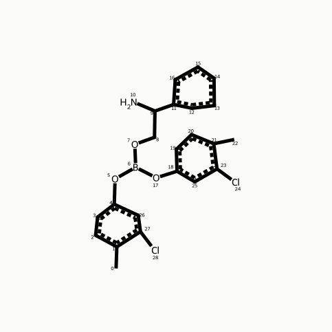 Cc1ccc(OB(OCC(N)c2ccccc2)Oc2ccc(C)c(Cl)c2)cc1Cl